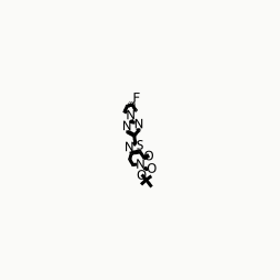 CC(C)(C)OC(=O)N1CCc2nc(-c3cnc(N4CC[C@H](F)C4)nc3)sc2C1=O